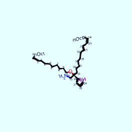 CCCCCCCC/C=C\CCCCCCCCOC(CN)(CCCCCCCC/C=C\CCCCCCCC)c1ccc[pH]1